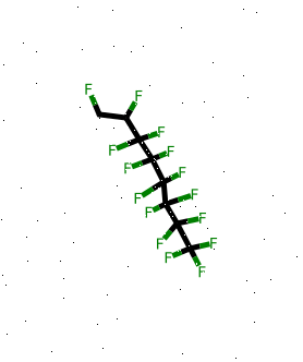 FCC(F)C(F)(F)C(F)(F)C(F)(F)C(F)(F)C(F)(F)C(F)(F)F